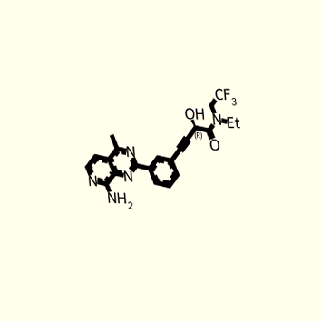 CCN(CC(F)(F)F)C(=O)[C@H](O)C#Cc1cccc(-c2nc(C)c3ccnc(N)c3n2)c1